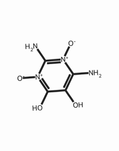 Nc1c(O)c(O)[n+]([O-])c(N)[n+]1[O-]